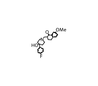 COc1ccc2c(c1)C(=O)C(CN1CCC(O)(c3ccc(F)cc3)CC1)CC2